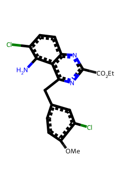 CCOC(=O)c1nc(Cc2ccc(OC)c(Cl)c2)c2c(N)c(Cl)ccc2n1